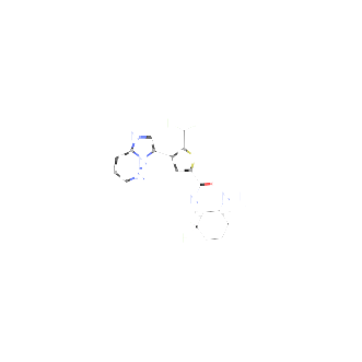 N[C@H]1CCCC(F)(F)[C@@H]1NC(=O)c1cc(-c2cnc3cccnn23)c(C(F)F)s1